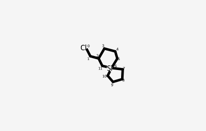 ClCC1CCC[Si]2(CCCC2)C1